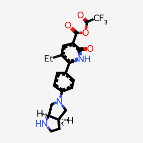 CCc1cc(C(=O)OC(=O)C(F)(F)F)c(=O)[nH]c1-c1ccc(N2C[C@H]3CCN[C@H]3C2)cc1